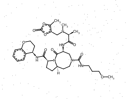 COCCCNC(=O)N1CC[C@H]2CC[C@@H](C(=O)N[C@@H]3CCOc4ccccc43)N2C(=O)[C@@H](NC(=O)[C@H](C)N(C)Cc2oc(=O)oc2C)C1